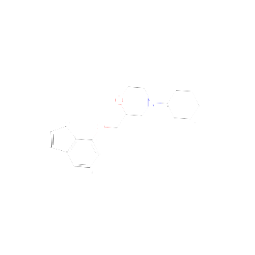 C1=Cc2cccc(OCC3CN(C4CCCCC4)CCO3)c2C1